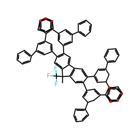 CC1(C(F)(F)F)c2cc(C3=CC(c4ccccc4)CC(c4ccccc4)=C3)c(C3=CC(c4ccccc4)CC(c4ccccc4)=C3)cc2-c2cc(-c3cc(-c4ccccc4)cc(-c4ccccc4)c3)c(-c3cc(-c4ccccc4)cc(-c4ccccc4)c3)cc21